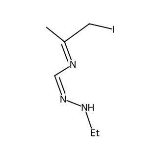 CCN/N=C\N=C(/C)CI